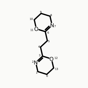 C1CN=C(CCC2=NCCCO2)OC1